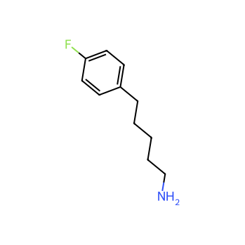 NCCCCCc1ccc(F)cc1